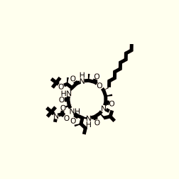 CCCCCCCCCC[C@H]1OC(=O)[C@H](C)NC(=O)[C@H]([C@H](C)OC(C)(C)C)NC(=O)[C@H](OC(=O)N(C)C(C)(C)C)NC(=O)[C@H]([C@H](C)CC)NC(=O)[C@H](CC(C)C)N(C)C(=O)[C@@H]1C